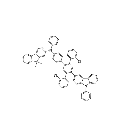 CC1(C)c2ccccc2-c2ccc(N(c3ccccc3)c3ccc(-c4cc(-c5ccccc5Cl)c(-c5ccc6c(c5)c5ccccc5n6-c5ccccc5)cc4-c4ccccc4Cl)cc3)cc21